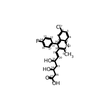 Cc1nc2ccc(Cl)cc2c(-c2ccc(F)cc2)c1/C=C/C(O)CC(O)CC(=O)O